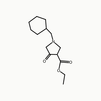 CCOC(=O)C1CN(CC2CCCCC2)CC1=O